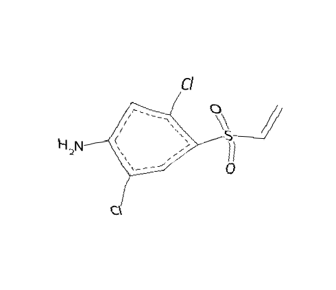 C=CS(=O)(=O)c1cc(Cl)c(N)cc1Cl